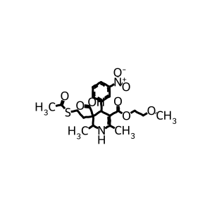 COCCOC(=O)C1=C(C)NC(C)C(CCSC(C)=O)(C(=O)O)C1c1cccc([N+](=O)[O-])c1